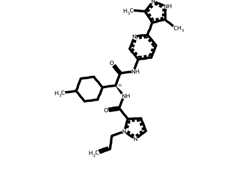 C=CCn1nccc1C(=O)N[C@H](C(=O)Nc1ccc(-c2c(C)n[nH]c2C)nc1)C1CCC(C)CC1